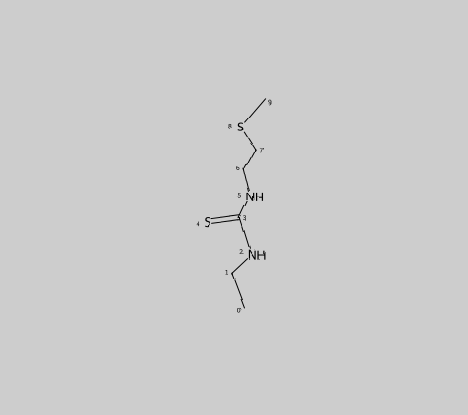 CCNC(=S)NCCSC